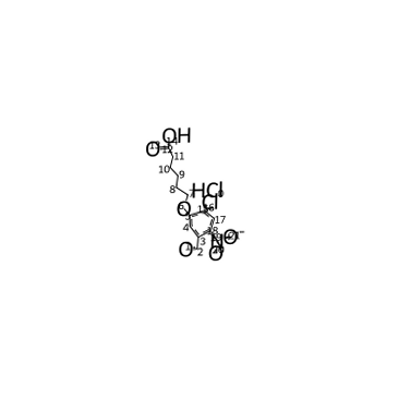 Cl.O=Cc1cc(OCCCCCC(=O)O)c(Cl)cc1[N+](=O)[O-]